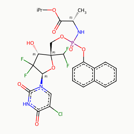 CC(C)OC(=O)[C@H](C)NP(=O)(OC[C@@]1(C(F)F)O[C@@H](n2cc(Cl)c(=O)[nH]c2=O)C(F)(F)[C@@H]1O)Oc1cccc2ccccc12